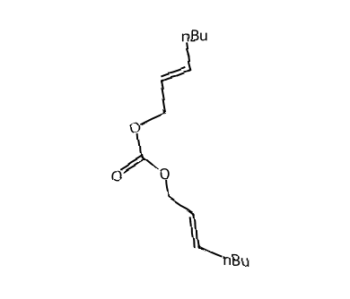 CCCCC=CCOC(=O)OCC=CCCCC